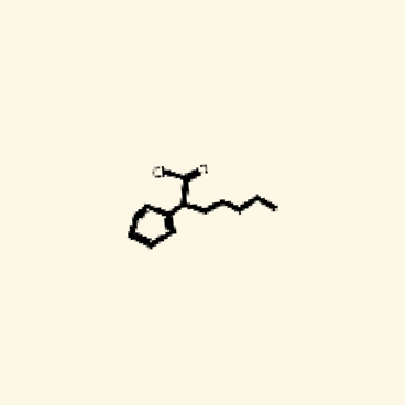 CCCCCC(C(=O)Cl)c1ccccc1